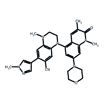 Cc1cc2c(N3CCN(C)c4cc(-c5cnn(C)c5)c(C#N)cc43)cc(N3CCOCC3)cc2n(C)c1=O